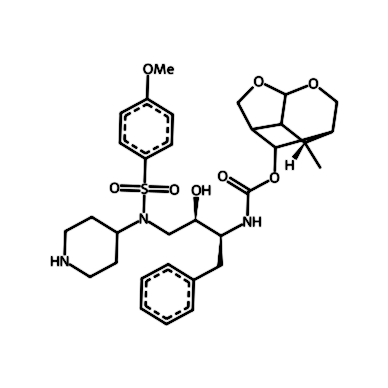 COc1ccc(S(=O)(=O)N(C[C@@H](O)[C@H](Cc2ccccc2)NC(=O)OC2C3COC4OCC2[C@H](C)C43)C2CCNCC2)cc1